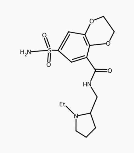 CCN1CCCC1CNC(=O)c1cc(S(N)(=O)=O)cc2c1OCCO2